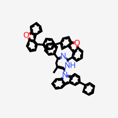 CC1=C(n2c3ccccc3c3cc(-c4ccccc4)ccc32)NC(c2cccc3oc4ccc(-c5ccc(-c6cccc7oc8ccccc8c67)cc5)cc4c23)N=C(c2ccccc2)C1